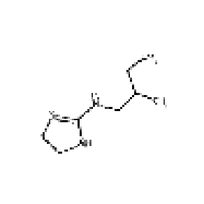 CCC(C)CNC1=NCCN1